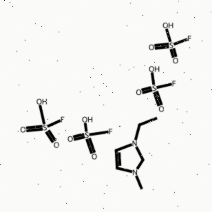 CCN1C=CN(C)C1.O=S(=O)(O)F.O=S(=O)(O)F.O=S(=O)(O)F.O=S(=O)(O)F